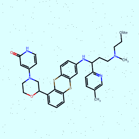 COCCN(C)CCC(Nc1ccc2c(c1)Sc1cccc(C3CN(c4cc[nH]c(=O)c4)CCO3)c1S2)c1ccc(C)cn1